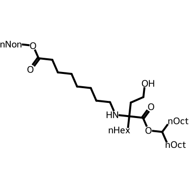 CCCCCCCCCOC(=O)CCCCCCCNC(CCO)(CCCCCC)C(=O)OC(CCCCCCCC)CCCCCCCC